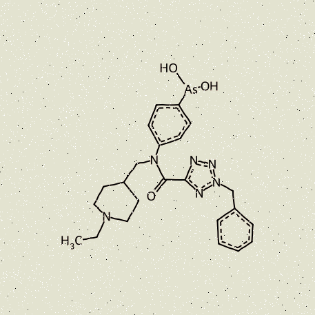 CCN1CCC(CN(C(=O)c2nnn(Cc3ccccc3)n2)c2ccc([As](O)O)cc2)CC1